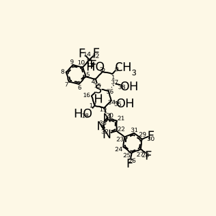 CCC(O)C(c1ccccc1C(F)(F)F)[SH]1C[C@H](O)[C@H](n2cc(-c3cc(F)c(F)c(F)c3)nn2)[C@@H](O)[C@H]1CO